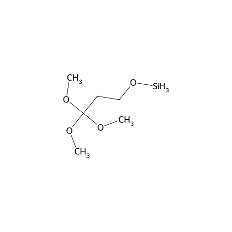 COC(CCO[SiH3])(OC)OC